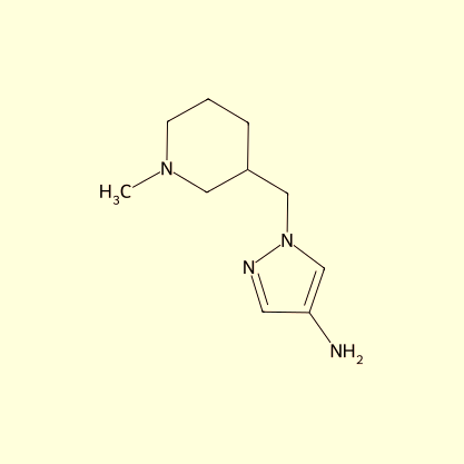 CN1CCCC(Cn2cc(N)cn2)C1